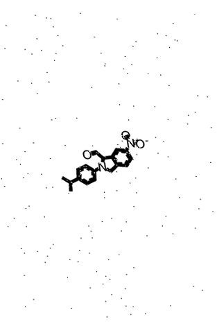 CC(C)c1ccc(N2Cc3ccc([N+](=O)[O-])cc3C2C=O)cc1